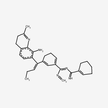 C=N/C(=N\C(=N)C1=CCCCC1)C1=CCCC(/C(=C/CC)c2ccc3c(c2N)N=C(C)CC3)=C1